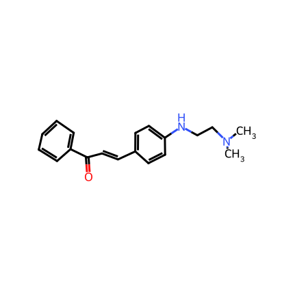 CN(C)CCNc1ccc(C=CC(=O)c2ccccc2)cc1